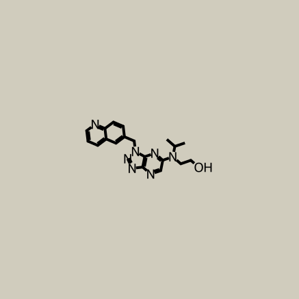 CC(C)N(CCO)c1cnc2nnn(Cc3ccc4ncccc4c3)c2n1